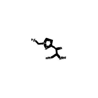 CCCCCC(CCC)C(=O)c1ccn(CC(F)(F)F)n1